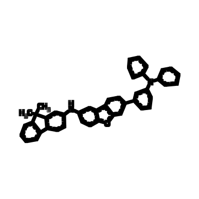 CC1(C)c2ccccc2-c2ccc(Nc3ccc4oc5cc(-c6cccc(N(c7ccccc7)c7ccccc7)c6)ccc5c4c3)cc21